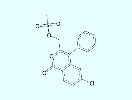 CS(=O)(=O)OCc1oc(=O)c2ccc(Cl)cc2c1-c1ccccc1